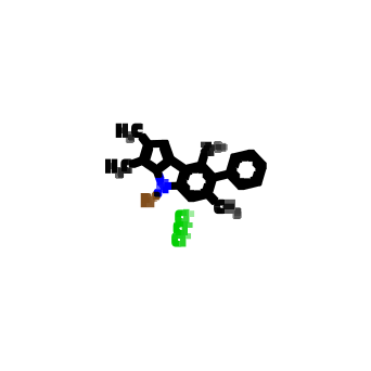 CC1=C(C)C2C(=C1)c1c(cc(C)c(-c3ccccc3)[c]1[Zr+3])N2Br.[Cl-].[Cl-].[Cl-]